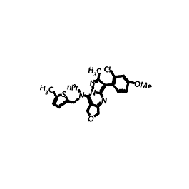 CCCN(Cc1ccc(C)s1)c1c2c(nc3c(-c4ccc(OC)cc4Cl)c(C)nn13)COC2